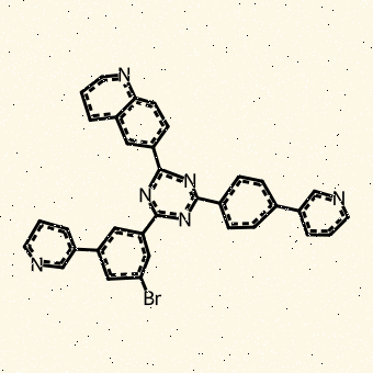 Brc1cc(-c2cccnc2)cc(-c2nc(-c3ccc(-c4cccnc4)cc3)nc(-c3ccc4ncccc4c3)n2)c1